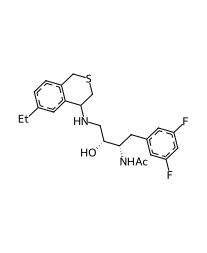 CCc1ccc2c(c1)C(NC[C@@H](O)[C@H](Cc1cc(F)cc(F)c1)NC(C)=O)CSC2